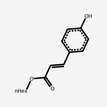 CCCCCCOC(=O)/C=C/c1ccc(O)cc1